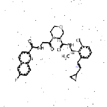 C[C@H](NC(=O)[C@@H]1COCCN1C(=O)CNC(=O)c1ccc2cc(F)ccc2n1)c1c(Cl)cccc1/C=C/C1CC1